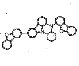 c1ccc2c(c1)N(c1cccc3c1oc1ccccc13)c1cccc3c4cc(-c5ccc6oc7ccccc7c6c5)ccc4n-2c13